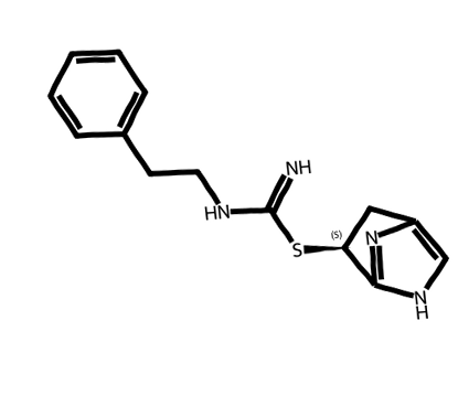 N=C(NCCc1ccccc1)S[C@H]1Cc2c[nH]c1n2